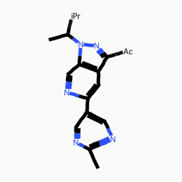 CC(=O)c1nn(C(C)C(C)C)c2cnc(-c3cnc(C)nc3)cc12